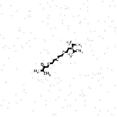 CC(C)C(=O)COCCOCCOCCN(C(C)C)C(C)C